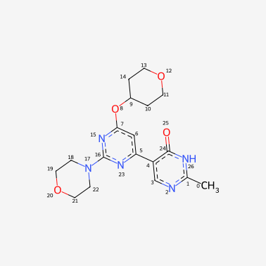 Cc1ncc(-c2cc(OC3CCOCC3)nc(N3CCOCC3)n2)c(=O)[nH]1